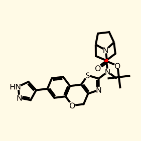 CN(c1nc2c(s1)-c1ccc(-c3cn[nH]c3)cc1OC2)C1CC2CCC(C1)N2C(=O)OC(C)(C)C